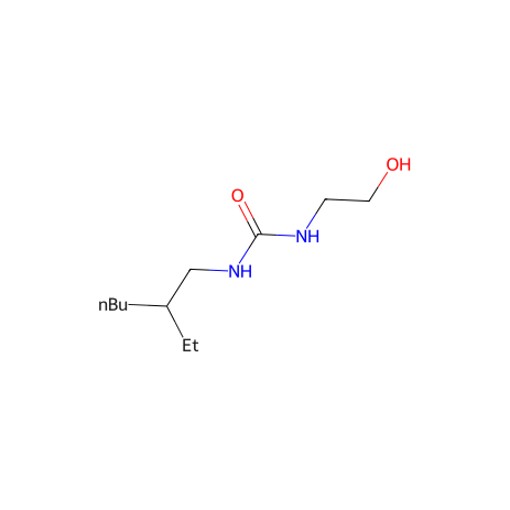 CCCCC(CC)CNC(=O)NCCO